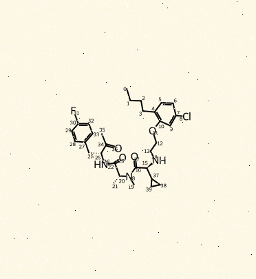 CCCCc1ccc(Cl)cc1OCCN[C@H](C(=O)N(C)[C@H](C)C(=O)N[C@H](Cc1ccc(F)cc1)C(C)=O)C1CC1